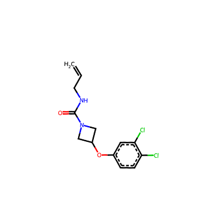 C=CCNC(=O)N1CC(Oc2ccc(Cl)c(Cl)c2)C1